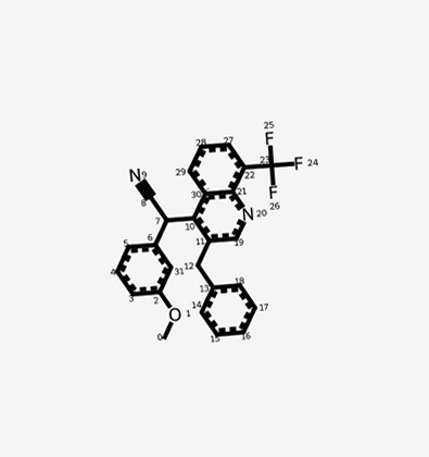 COc1cccc(C(C#N)c2c(Cc3ccccc3)cnc3c(C(F)(F)F)cccc23)c1